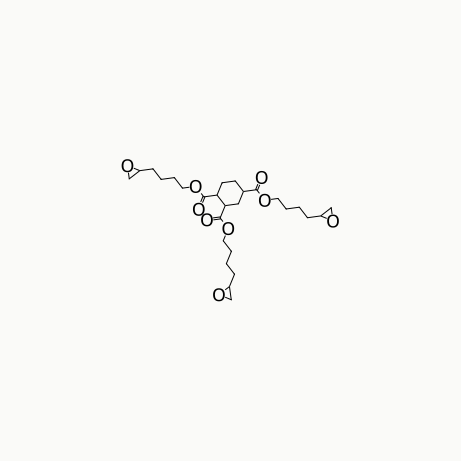 O=C(OCCCCC1CO1)C1CCC(C(=O)OCCCCC2CO2)C(C(=O)OCCCCC2CO2)C1